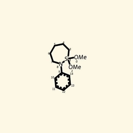 CO[Si]1(OC)CCCCCN1c1ccccc1